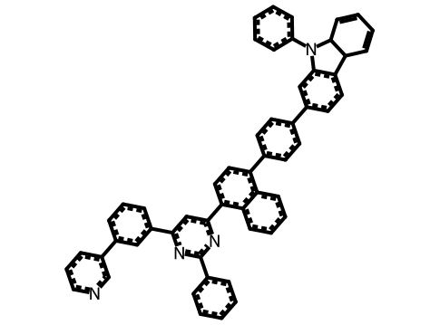 C1=CC2c3ccc(-c4ccc(-c5ccc(-c6cc(-c7cccc(-c8cccnc8)c7)nc(-c7ccccc7)n6)c6ccccc56)cc4)cc3N(c3ccccc3)C2C=C1